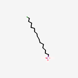 O=P(O)(O)CCCCCCCCCCCCCCCBr